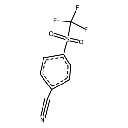 N#Cc1ccc(S(=O)(=O)C(F)(F)F)cc1